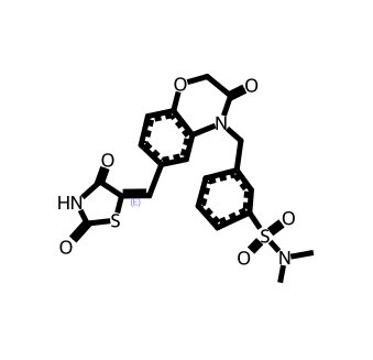 CN(C)S(=O)(=O)c1cccc(CN2C(=O)COc3ccc(/C=C4/SC(=O)NC4=O)cc32)c1